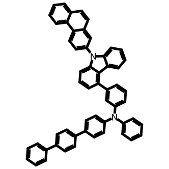 c1ccc(-c2ccc(-c3ccc(N(c4ccccc4)c4cccc(-c5cccc6c5c5ccccc5n6-c5ccc6c(ccc7ccccc76)c5)c4)cc3)cc2)cc1